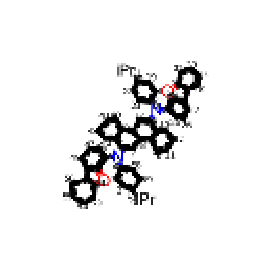 CC(C)c1ccc(N(c2cc3c4ccccc4c(N(c4ccc(C(C)C)cc4)c4cccc5c4oc4ccccc45)cc3c3ccccc23)c2cccc3c2oc2ccccc23)cc1